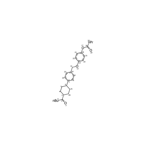 CCCCC(=O)C1CCC(c2ccc(COc3ccc(OC(=O)CCC)cc3)cc2)CC1